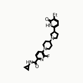 CCc1ccc(C2CCN(C3CCN(c4ccc(C(=O)NC5CC5)nc4F)CC3)C2)[nH]c1=O